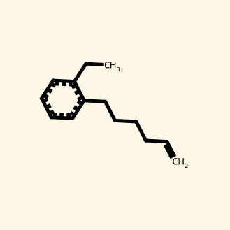 C=CCCCCc1ccccc1CC